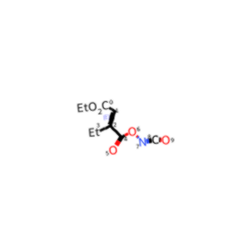 CCOC(=O)/C=C(\CC)C(=O)ON=C=O